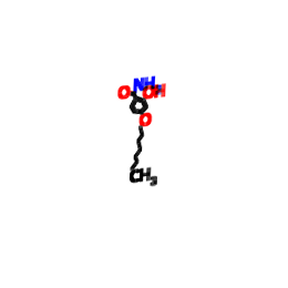 CCCCCCCCOc1ccc(C(N)=O)c(O)c1